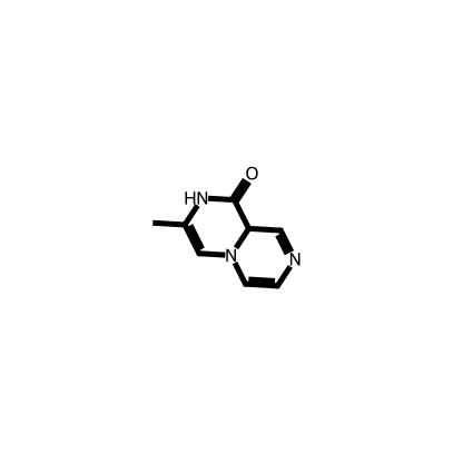 CC1=CN2C=CN=CC2C(=O)N1